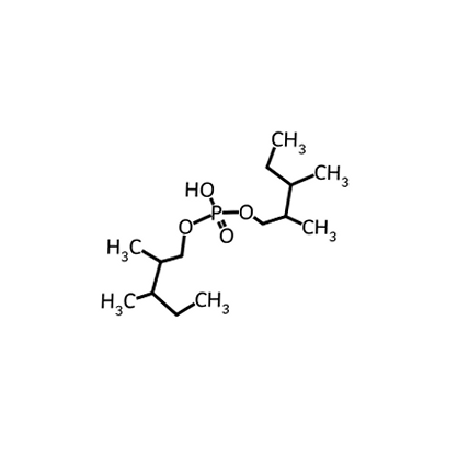 CCC(C)C(C)COP(=O)(O)OCC(C)C(C)CC